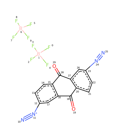 F[B-](F)(F)F.F[B-](F)(F)F.N#[N+]c1ccc2c(c1)C(=O)c1ccc([N+]#N)cc1C2=O